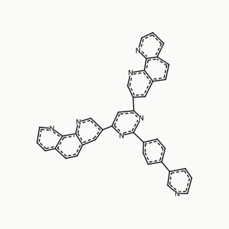 c1cncc(-c2ccc(-c3nc(-c4cnc5c(ccc6cccnc65)c4)cc(-c4cnc5c(ccc6cccnc65)c4)n3)cc2)c1